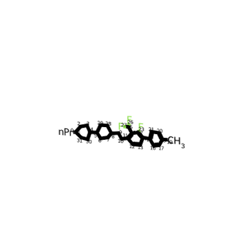 CCCC1CCC(C2CCC(CCc3ccc(-c4ccc(C)cc4)c(F)c3C(F)F)CC2)CC1